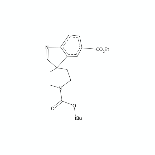 CCOC(=O)c1ccc2c(c1)C1(C=N2)CCN(C(=O)OC(C)(C)C)CC1